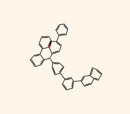 c1ccc(-c2ccc(N(c3ccc(-c4cccc(-c5ccc6ccccc6c5)c4)cc3)c3ccccc3-c3ccccc3)cc2)cc1